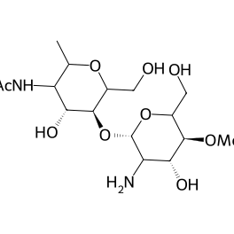 CO[C@@H]1C(CO)O[C@@H](O[C@@H]2C(CO)OC(C)C(NC(C)=O)[C@H]2O)C(N)[C@H]1O